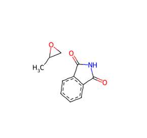 CC1CO1.O=C1NC(=O)c2ccccc21